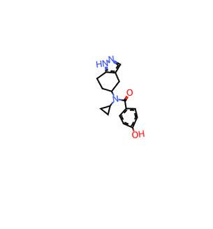 O=C(c1ccc(O)cc1)N(C1CC1)C1CCc2[nH]ncc2C1